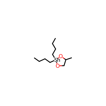 CCC[CH2][Sn]1([CH2]CCC)[O]CC(C)[O]1